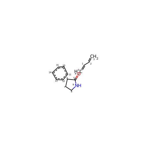 C=CC=C.O=C1CCCN1.c1ccccc1